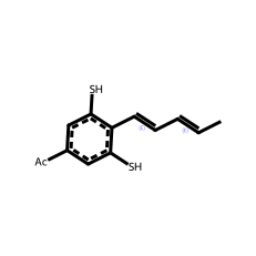 C/C=C/C=C/c1c(S)cc(C(C)=O)cc1S